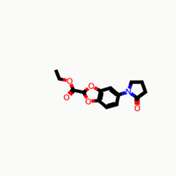 CCOC(=O)C1Oc2ccc(N3CCCC3=O)cc2O1